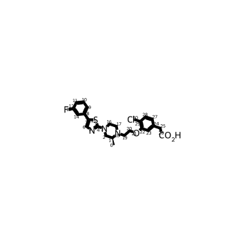 C[C@H]1CN(c2ncc(-c3cccc(F)c3)s2)CCN1CCOc1cc(CC(=O)O)ccc1Cl